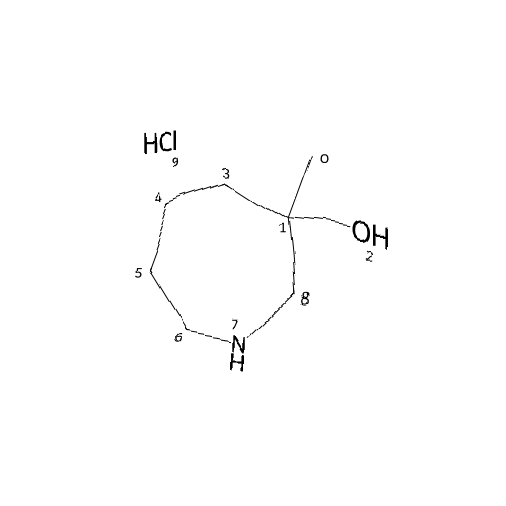 CC1(O)CCCCNC1.Cl